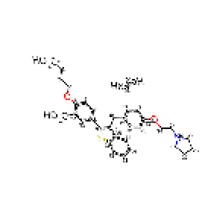 O=C(O)CCCOc1ccc(-c2sc3ccccc3c2Cc2ccc(OCCN3CCCC3)cc2)cc1C(=O)O.[NaH].[NaH]